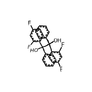 OC(c1ccccc1)(c1ccc(F)cc1F)C(O)(c1ccccc1)c1ccc(F)cc1F